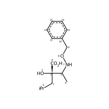 CC(C)C[C@@](O)(C(=O)O)C(C)NOCc1ccccc1